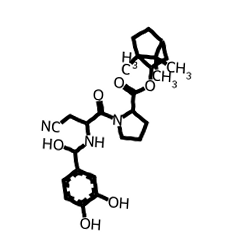 CC1(C)C2CCC1(C)C(OC(=O)C1CCCN1C(=O)C(CC#N)NC(O)c1ccc(O)c(O)c1)C2